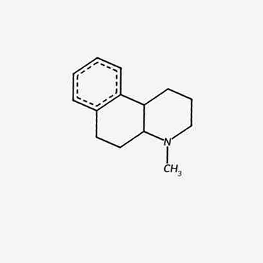 CN1CCCC2c3ccccc3CCC21